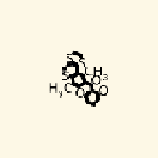 Cc1cc(C(=O)C2C(=O)CCCC2=O)c(C)c2c1SCC1=C2SCCS1